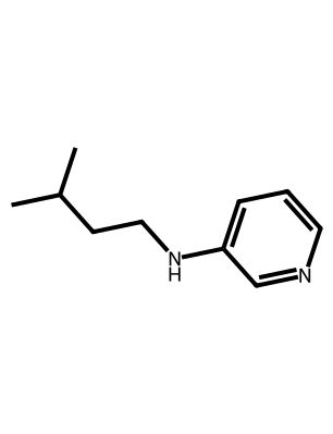 CC(C)CCNc1cccnc1